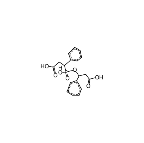 O=C(O)CC(OP(=O)(O)C(CC(=O)O)c1ccccc1)c1ccccc1